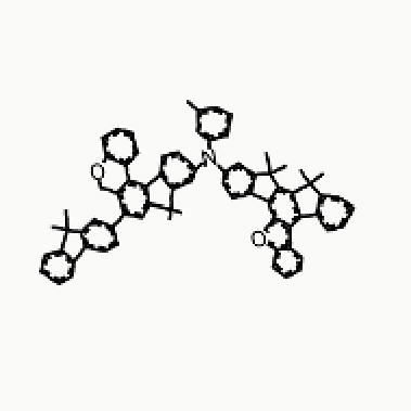 Cc1cccc(N(c2ccc3c(c2)C(C)(C)c2cc(-c4ccc5c(c4)C(C)(C)c4ccccc4-5)c4c(c2-3)-c2ccccc2OC4)c2ccc3c(c2)C(C)(C)c2c4c(c5c(oc6ccccc65)c2-3)-c2ccccc2C4(C)C)c1